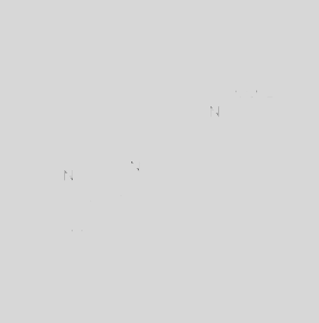 CCOC(=O)N1CCc2c(c3cccc4c3n2C(C)(C)C(=O)N4C)C1